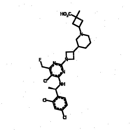 C[C@@H](Nc1nc(N2CC(C3CCCN(C4CC(C)(C(=O)O)C4)C3)C2)nc(CF)c1Cl)c1ccc(Cl)cc1Cl